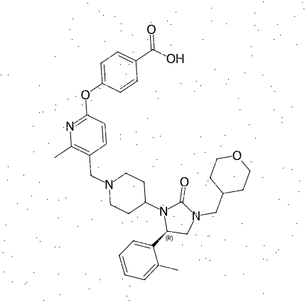 Cc1ccccc1[C@@H]1CN(CC2CCOCC2)C(=O)N1C1CCN(Cc2ccc(Oc3ccc(C(=O)O)cc3)nc2C)CC1